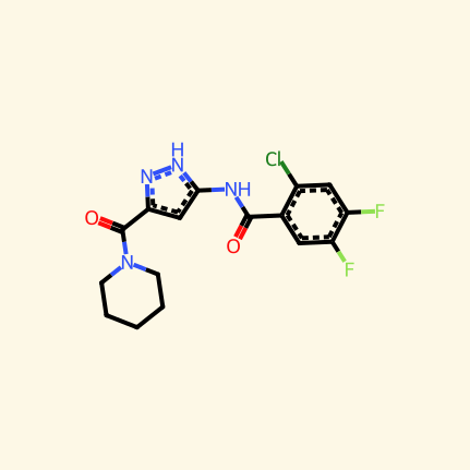 O=C(Nc1cc(C(=O)N2CCCCC2)n[nH]1)c1cc(F)c(F)cc1Cl